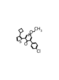 CCOn1cc(-c2ccc(Cl)cc2)c(=O)c(-c2sccc2C2CCC2)c1